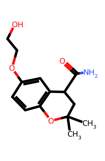 CC1(C)CC(C(N)=O)c2cc(OCCO)ccc2O1